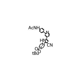 CC(=O)Nc1ccc(-c2cc(-c3cc(C#N)c(N4CCN(C(=O)OC(C)(C)C)CC4)[nH]3)ccn2)cc1